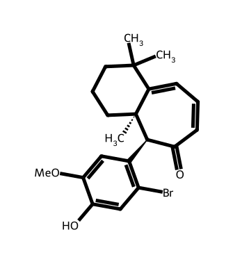 COc1cc([C@@H]2C(=O)C=CC=C3C(C)(C)CCC[C@@]32C)c(Br)cc1O